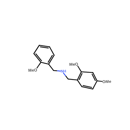 COc1ccc(CNCc2ccccc2OC)c(OC)c1